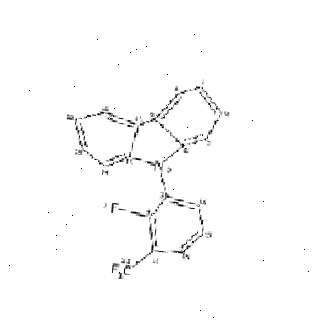 Fc1c(-n2c3ccccc3c3ccccc32)cccc1C(F)(F)F